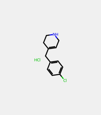 Cl.Clc1ccc(CC2=CCNCC2)cc1